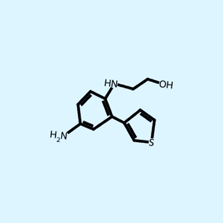 Nc1ccc(NCCO)c(-c2ccsc2)c1